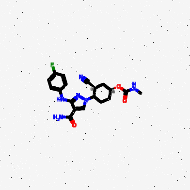 CNC(=O)O[C@@H]1CCC(n2cc(C(N)=O)c(Nc3ccc(F)cc3)n2)[C@@H](C#N)C1